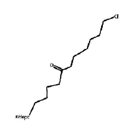 CCCCCCCCCCCC(=O)CCCCCCCl